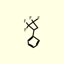 FC1(F)CC(c2ccccc2)C1(F)F